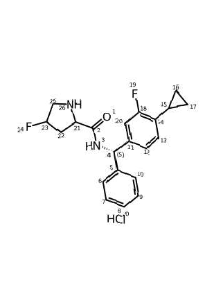 Cl.O=C(N[C@@H](c1ccccc1)c1ccc(C2CC2)c(F)c1)C1CC(F)CN1